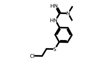 CN(C)C(=N)Nc1cccc(SCCCl)c1